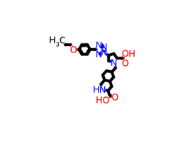 CCCOc1ccc(-c2nnn(C3CC(C(=O)O)N(CC4CCC5CNC(C(=O)O)CC5C4)C3)n2)cc1